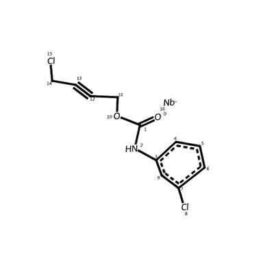 O=C(Nc1cccc(Cl)c1)OCC#CCCl.[Nb]